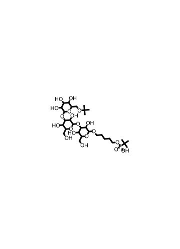 CC(C)(C)OCC1OC(OC2C(O)C(CO)OC(OC3C(O)C(CO)OC(OCCCCCOP(=O)(O)C(C)(C)C)C3O)C2O)C(O)C(O)C1O